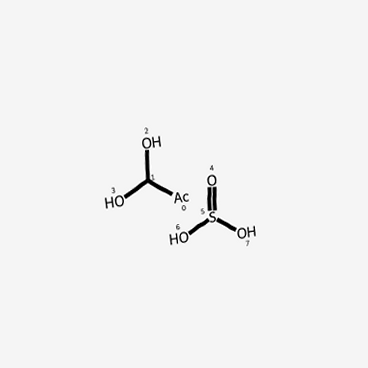 CC(=O)C(O)O.O=S(O)O